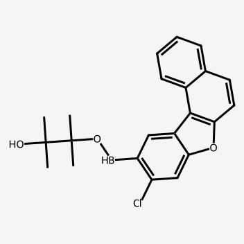 CC(C)(O)C(C)(C)OBc1cc2c(cc1Cl)oc1ccc3ccccc3c12